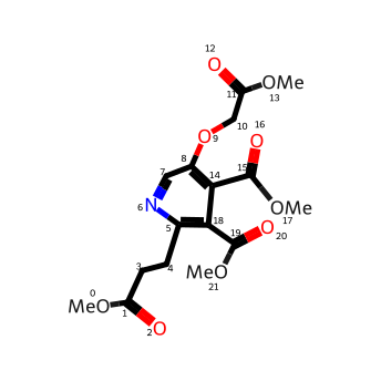 COC(=O)CCc1ncc(OCC(=O)OC)c(C(=O)OC)c1C(=O)OC